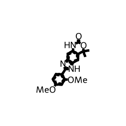 COc1ccc(-c2nc3cc4c(cc3[nH]2)C(C)(C)OC(=O)N4)c(OC)c1